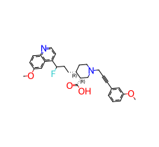 COc1cccc(C#CCN2CC[C@@H](CCC(F)c3ccnc4ccc(OC)cc34)[C@@H](C(=O)O)C2)c1